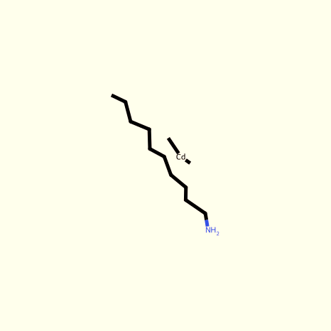 CCCCCCCCCCN.[CH3][Cd][CH3]